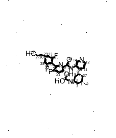 C[C@@H]1C[C@H](NC(=O)O)C[C@H](c2ccncc2NC(=O)c2ccc(F)c(-c3c(F)cc(CCO)cc3F)n2)C1